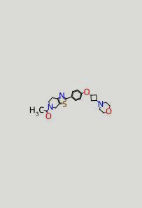 CC(=O)N1CCc2nc(-c3ccc(OC4CC(N5CCOCC5)C4)cc3)sc2C1